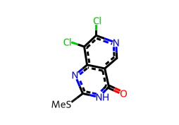 CSc1nc2c(Cl)c(Cl)ncc2c(=O)[nH]1